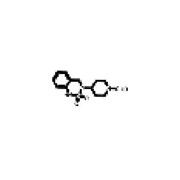 O=CN1CCC(N2Cc3ccccc3NS2(=O)=O)CC1